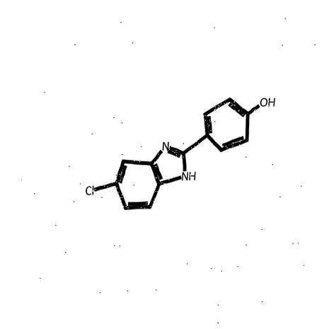 Oc1ccc(-c2nc3cc(Cl)ccc3[nH]2)cc1